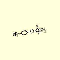 CCCC1CCC(C2CCC(c3cc(F)c(N)c(F)c3)CC2)CC1